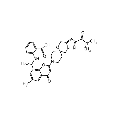 Cc1cc(C(C)Nc2ccccc2C(=O)O)c2oc(N3CCC4(CC3)Cn3nc(C(=O)N(C)C)cc3CO4)cc(=O)c2c1